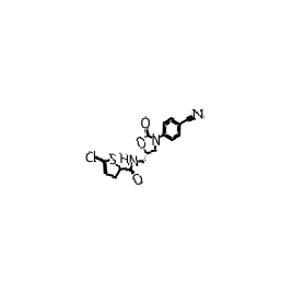 N#Cc1ccc(N2C[C@H](CNC(=O)C3CC=C(Cl)S3)OC2=O)cc1